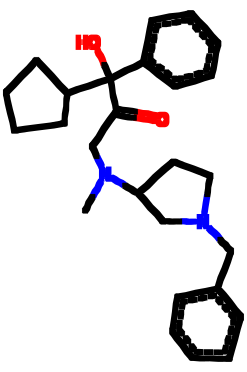 CN(CC(=O)C(O)(c1ccccc1)C1CCCC1)C1CCN(Cc2ccccc2)C1